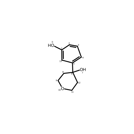 Oc1cccc(C2(O)CCOCC2)c1